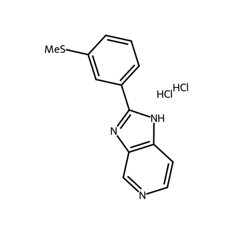 CSc1cccc(-c2nc3cnccc3[nH]2)c1.Cl.Cl